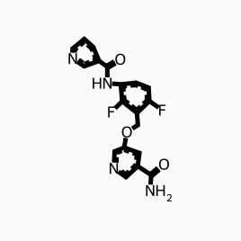 NC(=O)c1cncc(OCc2c(F)ccc(NC(=O)c3cccnc3)c2F)c1